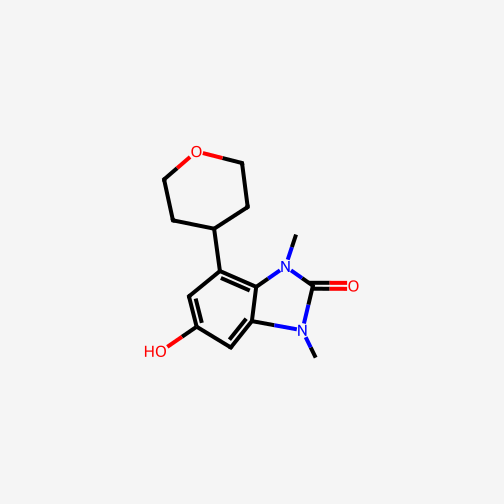 Cn1c(=O)n(C)c2c(C3CCOCC3)cc(O)cc21